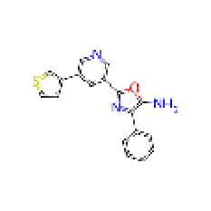 Nc1oc(-c2cncc(-c3ccsc3)c2)nc1-c1ccccc1